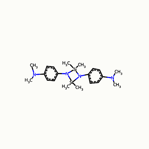 CN(C)c1ccc(N2[Si](C)(C)N(c3ccc(N(C)C)cc3)[Si]2(C)C)cc1